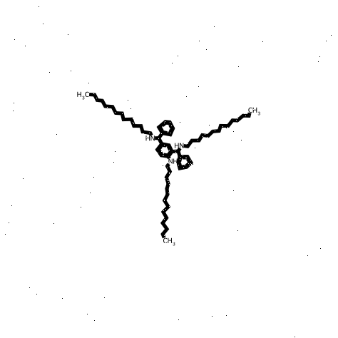 CCCCCCCCCCCCCCNc1ccc(C(NCCCCCCCCCCCCCC)c2ccccc2)cc1C(NCCCCCCCCCCCCCC)c1ccccc1